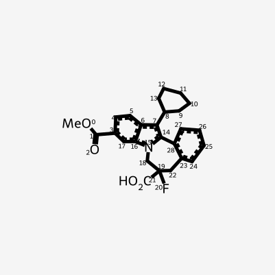 COC(=O)c1ccc2c(C3CCCCC3)c3n(c2c1)CC(F)(C(=O)O)Cc1ccccc1-3